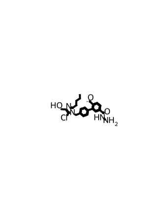 CCCCc1nc(CO)c(Cl)n1Cc1ccc(-c2cc(C(=O)NN)ccc2[C]=O)cc1